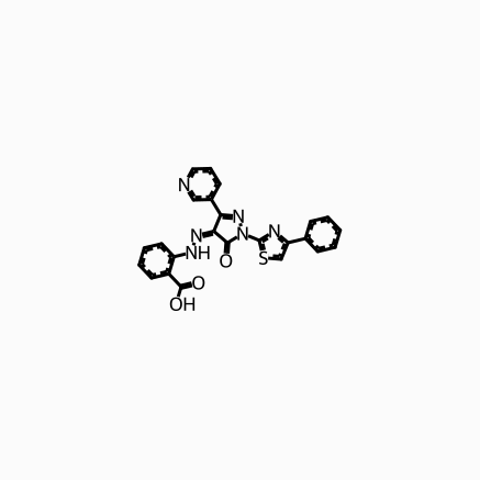 O=C(O)c1ccccc1N/N=C1\C(=O)N(c2nc(-c3ccccc3)cs2)N=C1c1cccnc1